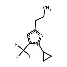 CCCc1cc(C(F)(F)F)n(C2CC2)n1